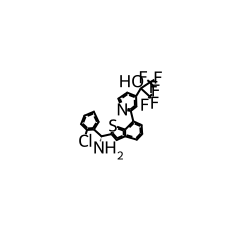 N[C@@H](c1cc2cccc(-c3cc(C(O)(C(F)(F)F)C(F)(F)F)ccn3)c2s1)c1ccccc1Cl